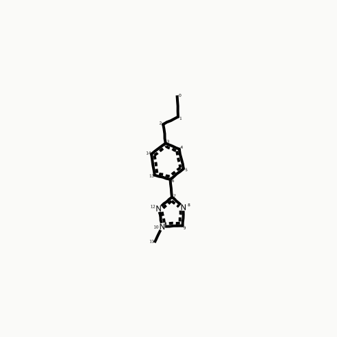 CCCc1ccc(-c2ncn(C)n2)cc1